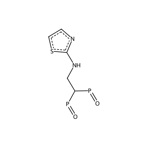 O=PC(CNc1nccs1)P=O